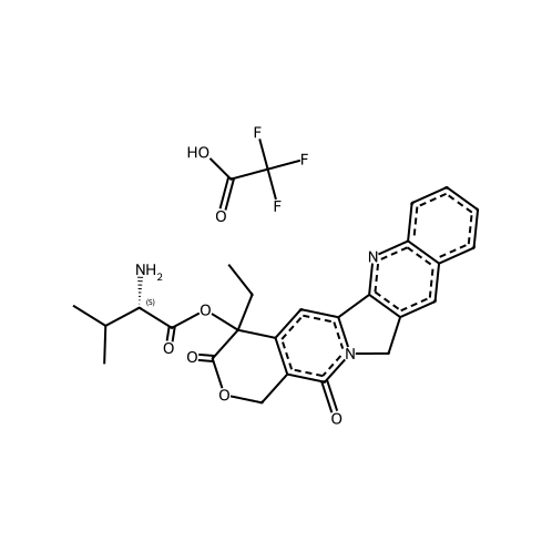 CCC1(OC(=O)[C@@H](N)C(C)C)C(=O)OCc2c1cc1n(c2=O)Cc2cc3ccccc3nc2-1.O=C(O)C(F)(F)F